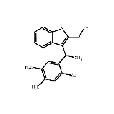 CC(=O)c1cc(C)c(C)cc1C(C)c1c(CC(C)C)[nH]c2ccccc12